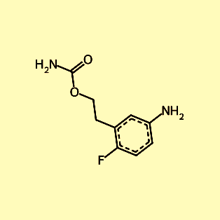 NC(=O)OCCc1cc(N)ccc1F